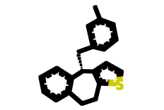 Cc1cccc(C[C@H]2c3ccccc3CCc3sccc32)c1